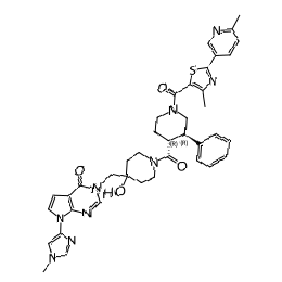 Cc1ccc(-c2nc(C)c(C(=O)N3CC[C@@H](C(=O)N4CCC(O)(Cn5cnc6c(ccn6-c6cn(C)cn6)c5=O)CC4)[C@H](c4ccccc4)C3)s2)cn1